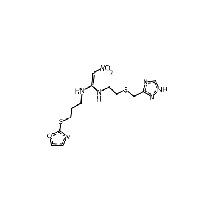 O=[N+]([O-])C=C(NCCCSc1ncco1)NCCSCc1nc[nH]n1